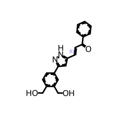 O=C(/C=C/c1cc(-c2ccc(CO)c(CO)c2)n[nH]1)c1ccccc1